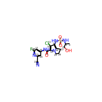 CC(CO)NS(=O)(=O)Nc1c(Cl)c(C(=O)Nc2cc(F)nc(C#N)c2)n2c1CCC2